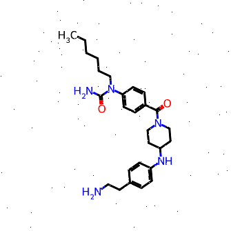 CCCCCCN(C(N)=O)c1ccc(C(=O)N2CCC(Nc3ccc(CCN)cc3)CC2)cc1